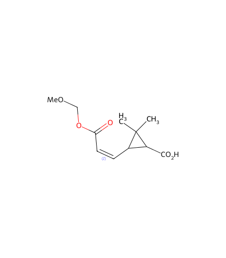 COCOC(=O)/C=C\C1C(C(=O)O)C1(C)C